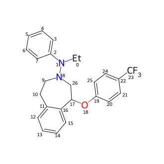 CCN(c1ccccc1)N1CCc2ccccc2C(Oc2ccc(C(F)(F)F)cc2)C1